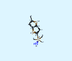 Cc1cc2sc(S(C)(C)(C)=N)cc2s1